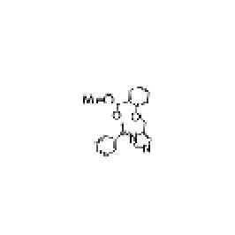 COC(=O)c1ccccc1OCc1cncn1[C@H](C)c1ccccc1